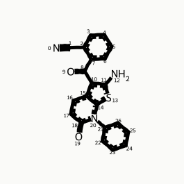 N#Cc1ccccc1C(=O)c1c(N)sc2c1ccc(=O)n2-c1ccccc1